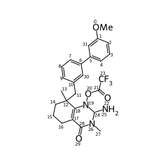 COc1cccc(-c2cccc(CC3(C)CCCC4=C3N(OC(=O)C(F)(F)F)C(N)N(C)C4=O)c2)c1